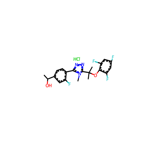 CC(O)c1ccc(-c2nnc(C(C)(C)Oc3c(F)cc(F)cc3F)n2C)c(F)c1.Cl